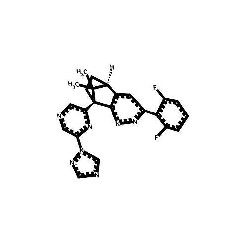 CC1(C)[C@H]2CC[C@@]1(c1cncc(-n3cncn3)n1)c1nnc(-c3c(F)cccc3F)cc12